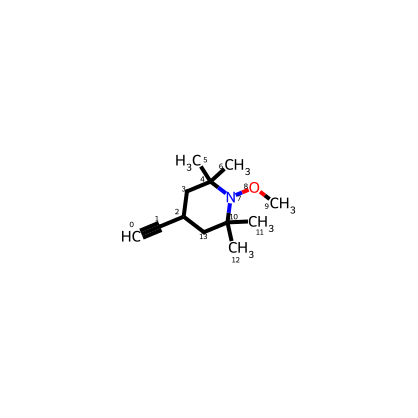 C#CC1CC(C)(C)N(OC)C(C)(C)C1